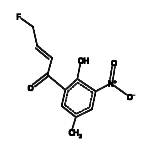 Cc1cc(C(=O)/C=C/CF)c(O)c([N+](=O)[O-])c1